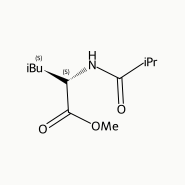 CC[C@H](C)[C@H](NC(=O)C(C)C)C(=O)OC